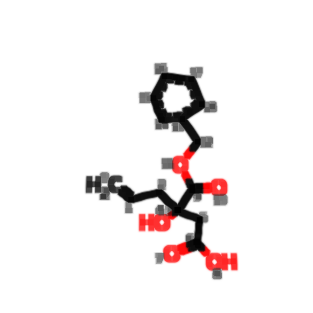 C=CCC(O)(CC(=O)O)C(=O)OCc1ccccc1